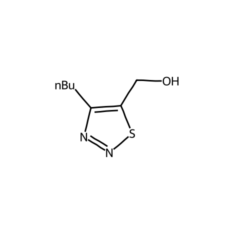 CCCCc1nnsc1CO